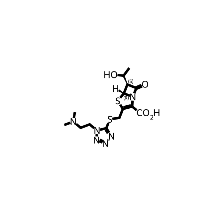 CC(O)[C@H]1C(=O)N2C(C(=O)O)=C(CSc3nnnn3CCN(C)C)S[C@H]12